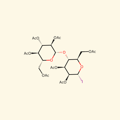 CC(=O)OC[C@H]1O[C@@H](O[C@H]2[C@H](OC(C)=O)[C@H](OC(C)=O)[C@@H](I)O[C@@H]2COC(C)=O)[C@H](OC(C)=O)[C@@H](OC(C)=O)[C@@H]1OC(C)=O